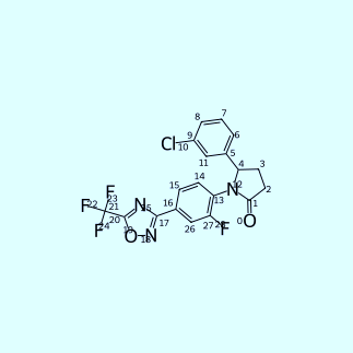 O=C1CCC(c2cccc(Cl)c2)N1c1ccc(-c2noc(C(F)(F)F)n2)cc1F